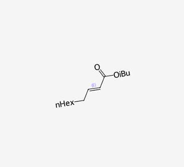 CCCCCCC/C=C/C(=O)OCC(C)C